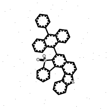 O=S1(=O)c2ccccc2-c2c1c(-c1c3ccccc3c(-c3ccccc3)c3ccccc13)cc1ccc3sc4ccccc4c3c21